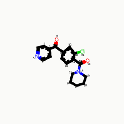 O=C(c1ccncc1)c1ccc(C(=O)N2CCCCC2)c(Cl)c1